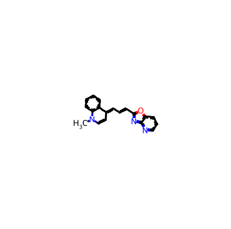 CN1C=CC(=CC=Cc2nc3ncccc3o2)c2ccccc21